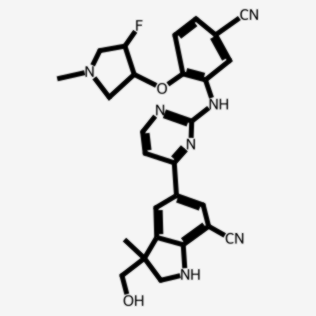 CN1CC(F)C(Oc2ccc(C#N)cc2Nc2nccc(-c3cc(C#N)c4c(c3)C(C)(CO)CN4)n2)C1